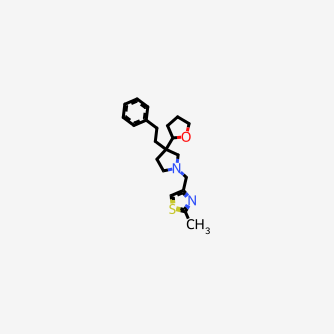 Cc1nc(CN2CCC(CCc3ccccc3)(C3CCCO3)C2)cs1